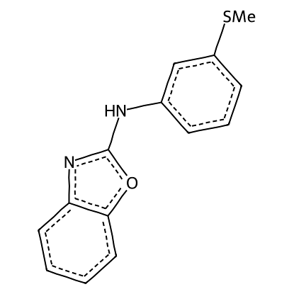 CSc1cccc(Nc2nc3ccccc3o2)c1